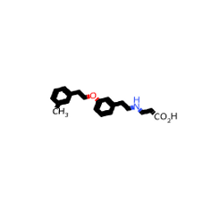 Cc1cccc(CCOc2cccc(CCNCCC(=O)O)c2)c1